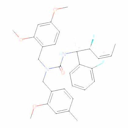 C/C=C\[C@H](F)[C@](C)(NC(=O)N(Cc1ccc(C)cc1OC)Cc1ccc(OC)cc1OC)c1ccccc1F